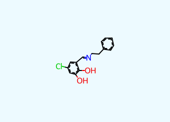 Oc1cc(Cl)cc(C=NCCc2ccccc2)c1O